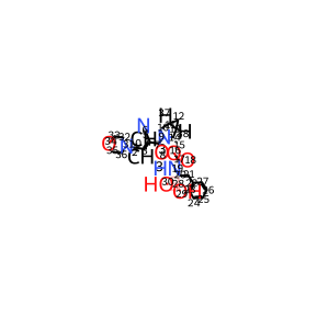 CC(C)(C=C(C#N)C(=O)N1C[C@@H]2C[C@@H]2[C@@H]1COC(=O)NC(Cc1ccccc1)B(O)O)N1CCOCC1